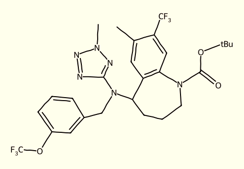 Cc1cc2c(cc1C(F)(F)F)N(C(=O)OC(C)(C)C)CCCC2N(Cc1cccc(OC(F)(F)F)c1)c1nnn(C)n1